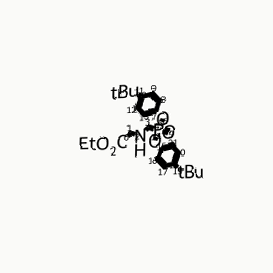 CCOC(=O)CNCP(=O)(Oc1ccc(C(C)(C)C)cc1)Oc1ccc(C(C)(C)C)cc1